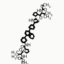 COC(=O)N[C@H](C(=O)C1CCC[C@H]1c1ncc(-c2ccc(-c3ccc(-c4cccc(NC(=O)C5CCCN5C(=O)[C@@H](NC(=O)OC)C(C)C)c4)c4c3C3CCC4C3)cc2)[nH]1)C(C)C